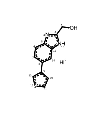 I.OCc1nc2ccc(-c3ccsc3)cc2[nH]1